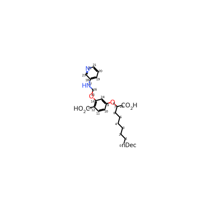 CCCCCCCCCCCCCCCCC(Oc1ccc(C(=O)O)c(OCNc2cccnc2)c1)C(=O)O